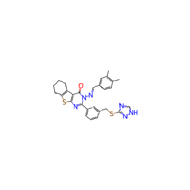 Cc1ccc(C=Nn2c(-c3cccc(CSc4nc[nH]n4)c3)nc3sc4c(c3c2=O)CCCC4)cc1C